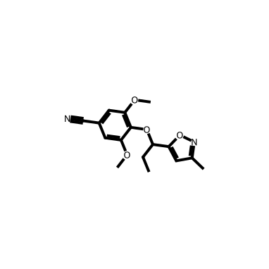 CCC(Oc1c(OC)cc(C#N)cc1OC)c1cc(C)no1